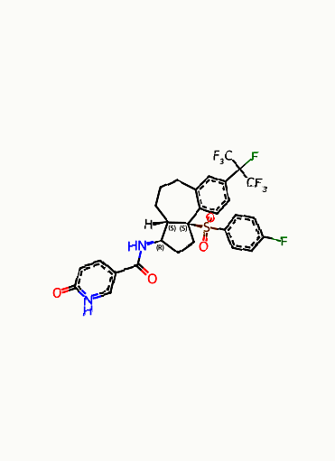 O=C(N[C@@H]1CC[C@@]2(S(=O)(=O)c3ccc(F)cc3)c3ccc(C(F)(C(F)(F)F)C(F)(F)F)cc3CCC[C@@H]12)c1ccc(=O)[nH]c1